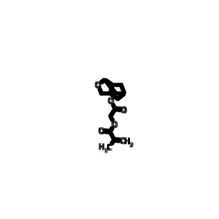 C=C(C)C(=O)OCC(=O)OC1C2CC3COC1C3C2